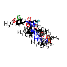 COc1ccc(CCNC(=O)[C@H](CC(F)F)NC(=O)[C@@H]2[C@@H]3[C@H](CN2C(=O)[C@@H](NC(=O)N[C@H](CN(C)S(C)(=O)=O)C(C)(C)C)C(C)(C)C)C3(C)C)cc1Cl